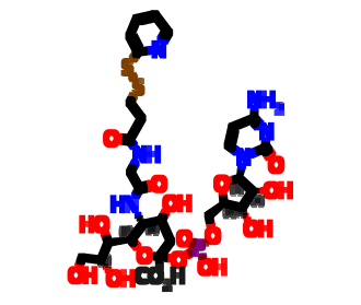 Nc1ccn([C@@H]2O[C@H](COP(=O)(O)OC3(C(=O)O)CC(O)[C@@H](NC(=O)CNC(=O)CCSSc4ccccn4)[C@H](C(O)[C@H](O)CO)O3)[C@@H](O)[C@H]2O)c(=O)n1